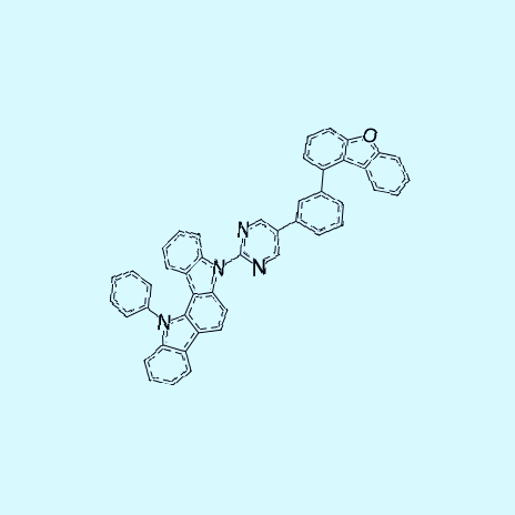 c1ccc(-n2c3ccccc3c3ccc4c(c5ccccc5n4-c4ncc(-c5cccc(-c6cccc7oc8ccccc8c67)c5)cn4)c32)cc1